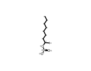 CCCCCCCC(I)O[N+](=O)[O-]